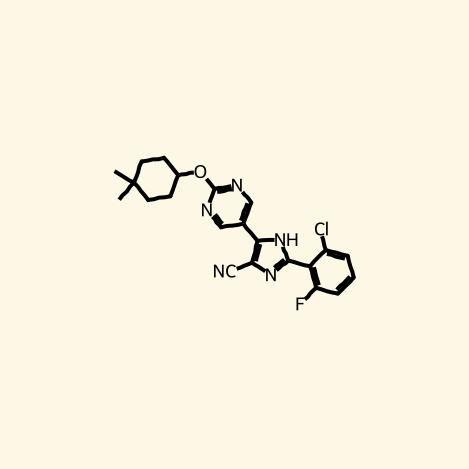 CC1(C)CCC(Oc2ncc(-c3[nH]c(-c4c(F)cccc4Cl)nc3C#N)cn2)CC1